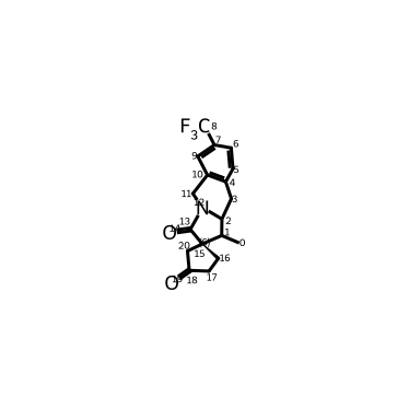 CC1C2Cc3ccc(C(F)(F)F)cc3CN2C(=O)[C@]12CCC(=O)C2